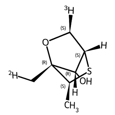 [2H]C[C@]12O[C@@H]([3H])[C@H](S[C@H]1C)[C@@H]2O